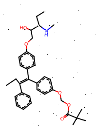 CCC(=C(c1ccc(OCOC(=O)C(C)(C)C)cc1)c1ccc(OCC(O)C(CC)NC)cc1)c1ccccc1